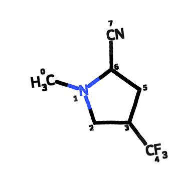 CN1CC(C(F)(F)F)CC1C#N